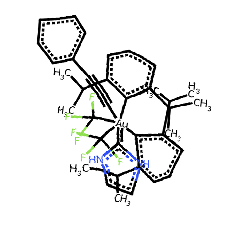 CC(C)c1cccc(C(C)C)[c]1[Au]([C]#Cc1ccccc1)([c]1c(C(C)C)cccc1C(C)C)(=[c]1[nH]cc[nH]1)([C](F)(F)F)[C](F)(F)F